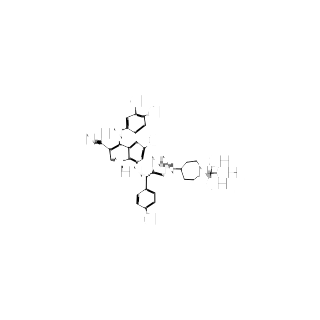 CC(C)(C)N1CCC(n2cc([C@@H](Nc3cc(Cl)cc4c(Nc5ccc(Cl)c(Cl)c5)c(C#N)cnc34)c3ccc(Cl)cc3)nn2)CC1